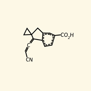 N#CC=C=C1c2ccc(C(=O)O)cc2CC12CC2